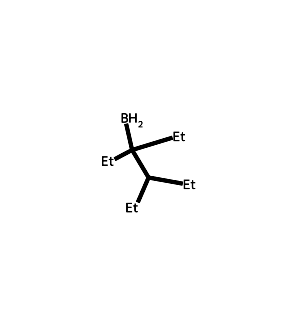 BC(CC)(CC)C(CC)CC